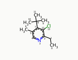 CCc1ncc(C)c(C(C)(C)C)c1Cl